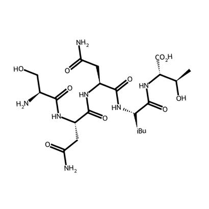 CC[C@H](C)[C@H](NC(=O)[C@H](CC(N)=O)NC(=O)[C@H](CC(N)=O)NC(=O)[C@@H](N)CO)C(=O)N[C@H](C(=O)O)[C@@H](C)O